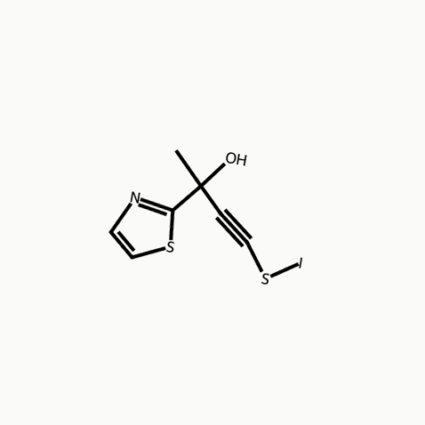 CC(O)(C#CSI)c1nccs1